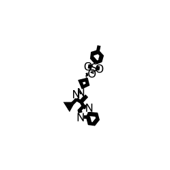 Cc1ccc(S(=O)(=O)OC[C@H]2C[C@H](n3cc(-c4cnc5ccccc5n4)c(C4CC4)n3)C2)cc1